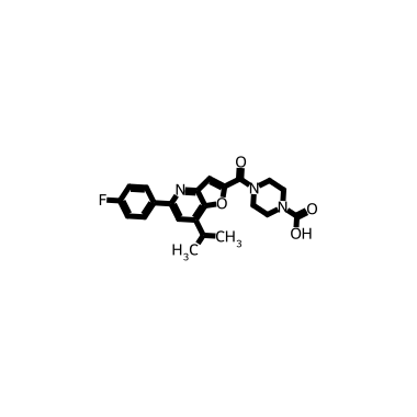 CC(C)c1cc(-c2ccc(F)cc2)nc2cc(C(=O)N3CCN(C(=O)O)CC3)oc12